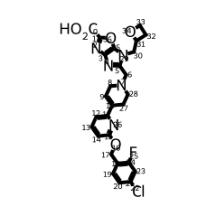 O=C(O)c1nc2nc(CN3CC=C(c4cccc(OCc5ccc(Cl)cc5F)n4)CC3)n(CC3CCO3)c2o1